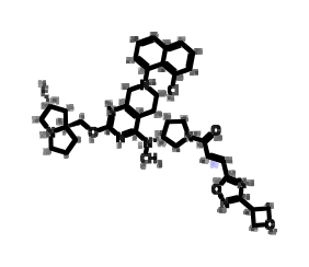 CN(c1nc(OC[C@@]23CCCN2C[C@H](F)C3)nc2c1CCN(c1cccc3cccc(Cl)c13)C2)[C@@H]1CCN(C(=O)/C=C/c2nc(C3COC3)no2)C1